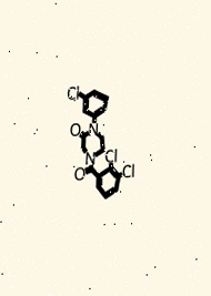 O=C(c1cccc(Cl)c1Cl)N1CCN(c2cccc(Cl)c2)C(=O)C1